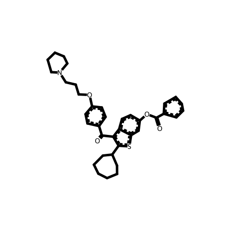 O=C(Oc1ccc2c(C(=O)c3ccc(OCCCN4CCCCC4)cc3)c(C3CCCCCC3)sc2c1)c1ccccc1